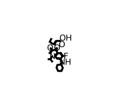 CCC(/C=C/C(=O)O)Oc1cn(C(C)C)c2cc(NC3CCCCC3)c(F)cc2c1=O